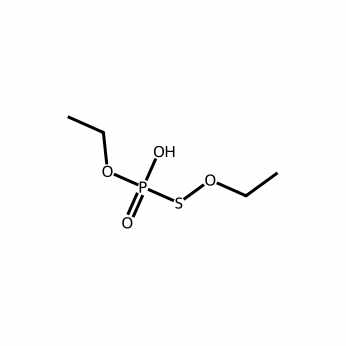 CCOSP(=O)(O)OCC